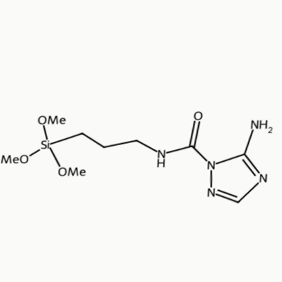 CO[Si](CCCNC(=O)n1ncnc1N)(OC)OC